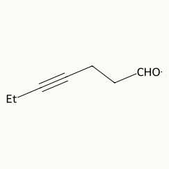 CCC#CCC[C]=O